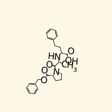 C[C@H](NC(CCc1ccccc1)C(=O)O)C(=O)N1CCC[C@H]1C(=O)OCc1ccccc1